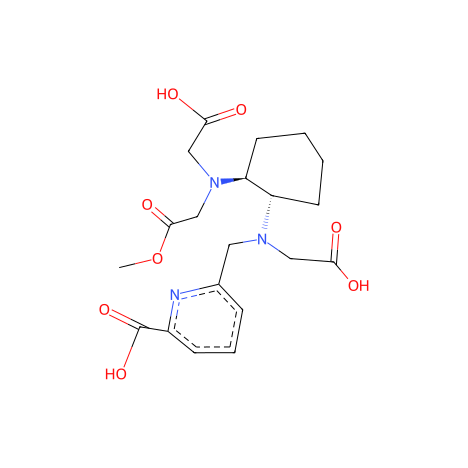 COC(=O)CN(CC(=O)O)[C@H]1CCCC[C@@H]1N(CC(=O)O)Cc1cccc(C(=O)O)n1